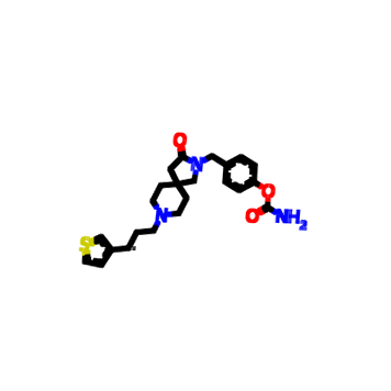 NC(=O)Oc1ccc(CN2CC3(CCN(CC[CH]c4ccsc4)CC3)CC2=O)cc1